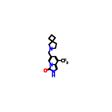 O=c1[nH]cc2c(C(F)(F)F)cc(CN3CCC4(CCC4)C3)cn12